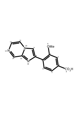 COc1cc(C(=O)O)ccc1-c1cn2ccncc2n1